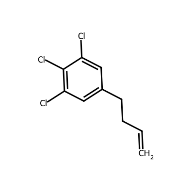 C=CCCc1cc(Cl)c(Cl)c(Cl)c1